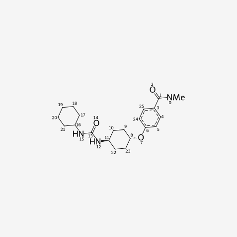 CNC(=O)c1ccc(O[C@H]2CC[C@H](NC(=O)NC3CCCCC3)CC2)cc1